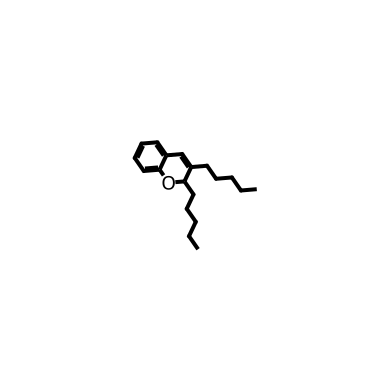 CCCCCC1=Cc2ccccc2OC1CCCCC